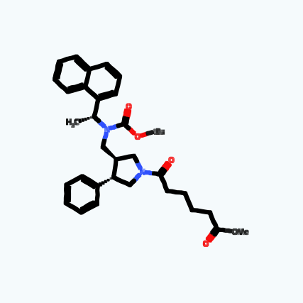 COC(=O)CCCCC(=O)N1C[C@H](CN(C(=O)OC(C)(C)C)[C@H](C)c2cccc3ccccc23)[C@@H](c2ccccc2)C1